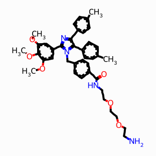 COc1cc(-c2nc(-c3ccc(C)cc3)c(-c3ccc(C)cc3)n2Cc2ccc(C(=O)NCCOCCOCCN)cc2)cc(OC)c1OC